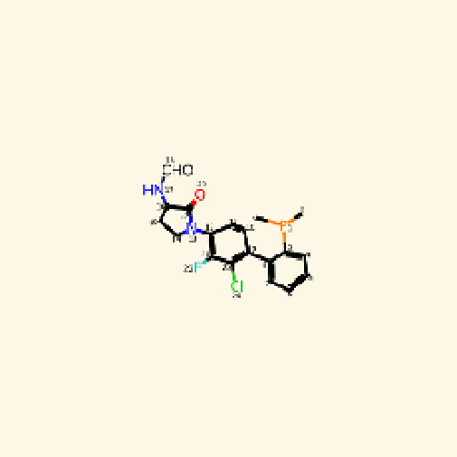 CP(C)c1ccccc1-c1ccc(N2CCC(NC=O)C2=O)c(F)c1Cl